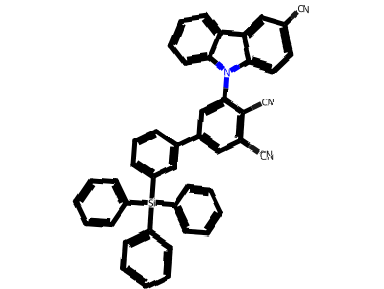 N#Cc1ccc2c(c1)c1ccccc1n2-c1cc(-c2cccc([Si](c3ccccc3)(c3ccccc3)c3ccccc3)c2)cc(C#N)c1C#N